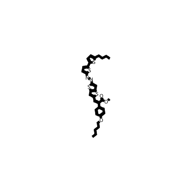 CCCCCOc1ccc(/C(=C/c2cc3sc(/N=N/c4ccc(-c5ccc(CCCC)s5)s4)cc3s2)C(=O)OC)cc1